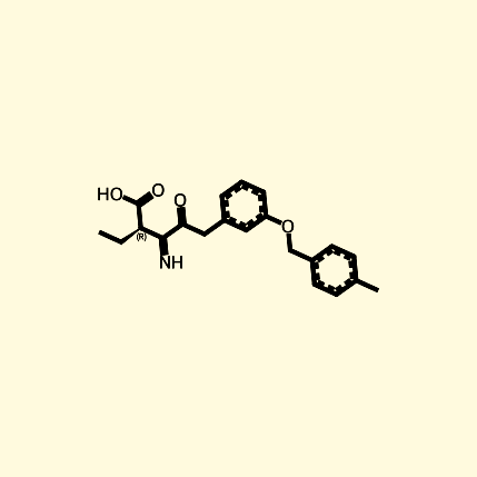 CC[C@H](C(=N)C(=O)Cc1cccc(OCc2ccc(C)cc2)c1)C(=O)O